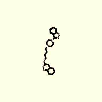 c1ccc2c(N3CCN(CCCCOC4=NN=C5CCCCC5C4)CC3)nsc2c1